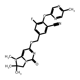 Cc1cnc(Oc2c(F)cc(COc3cc4n(c(=O)n3)CC(C)(C)N4C)cc2C#N)cn1